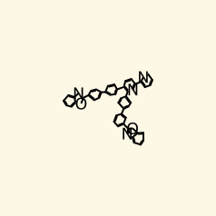 c1ccc(-c2ccc(-c3ccc(-c4ccc(-c5nc6ccccc6o5)cc4)cc3)c(-c3ccc(-c4cccc(-c5nc6ccccc6o5)c4)cc3)n2)nc1